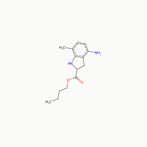 CCCCOC(=O)C1Cc2c(N)ccc(C)c2N1